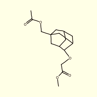 COC(=O)COC1C2CC3CC1CC(COC(C)=O)(C3)C2